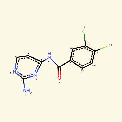 Nc1nccc(NC(=O)c2ccc(F)c(Cl)c2)n1